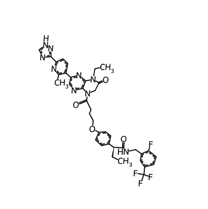 CC[C@H](C(=O)NCc1cc(C(F)(F)F)ccc1F)c1ccc(OCCCC(=O)N2CC(=O)N(CC)c3nc(-c4ccc(-c5nc[nH]n5)nc4C)cnc32)cc1